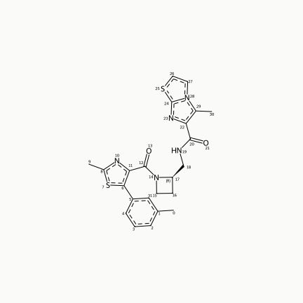 Cc1cccc(-c2sc(C)nc2C(=O)N2CC[C@@H]2CNC(=O)c2nc3sccn3c2C)c1